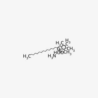 CCCCCCCCCCCCCCCCc1c(C)c(C)c(C)c(C)c1S(=O)(=O)O.N